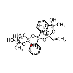 C=C[Si](C)(O[Si](C)(C)O)O[Si](O[Si](C)(C)O[Si](C)(C)O)(c1ccccc1)c1ccccc1